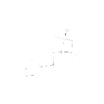 O=C(C1=CS[C@@H]2CC(=O)N12)N1CCCC1